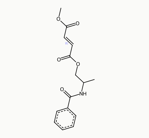 COC(=O)/C=C/C(=O)OCC(C)NC(=O)c1ccccc1